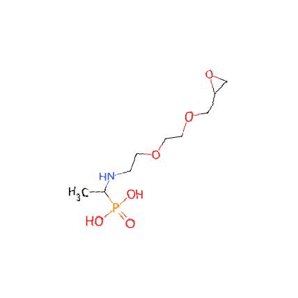 CC(NCCOCCOCC1CO1)P(=O)(O)O